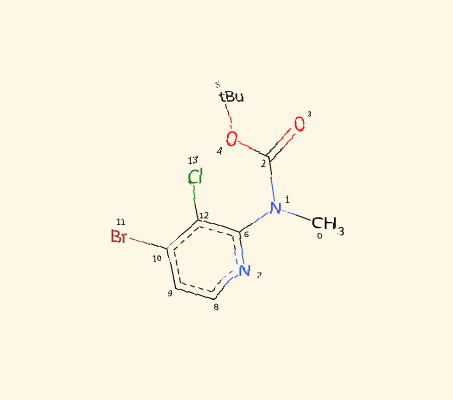 CN(C(=O)OC(C)(C)C)c1nccc(Br)c1Cl